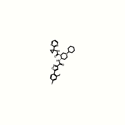 O=C(N[C@H]1CCN(C2CCCCC2)C[C@@H]1C(=O)NC1(c2ncccn2)CC1)c1cc(-c2ccc(F)cc2F)on1